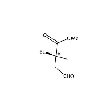 CCC(C)[C@@](C)(CC=O)C(=O)OC